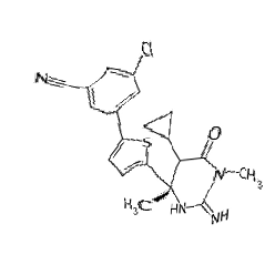 CN1C(=N)N[C@](C)(c2ccc(-c3cc(Cl)cc(C#N)c3)s2)C(C2CC2)C1=O